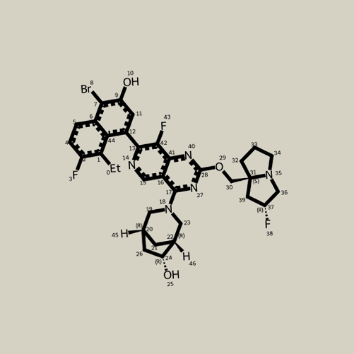 CCc1c(F)ccc2c(Br)c(O)cc(-c3ncc4c(N5C[C@@H]6C[C@H](C5)[C@H](O)C6)nc(OC[C@@]56CCCN5C[C@H](F)C6)nc4c3F)c12